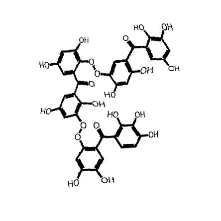 O=C(c1cc(OOc2c(O)cc(O)cc2C(=O)c2cc(O)cc(OOc3cc(O)c(O)cc3C(=O)c3ccc(O)c(O)c3O)c2O)c(O)cc1O)c1cc(O)cc(O)c1O